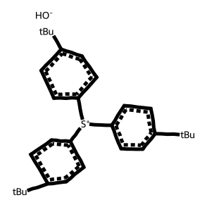 CC(C)(C)c1ccc([S+](c2ccc(C(C)(C)C)cc2)c2ccc(C(C)(C)C)cc2)cc1.[OH-]